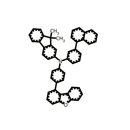 CC1(C)c2ccccc2-c2ccc(N(c3ccc(-c4cccc5oc6ccccc6c45)cc3)c3cccc(-c4cccc5ccccc45)c3)cc21